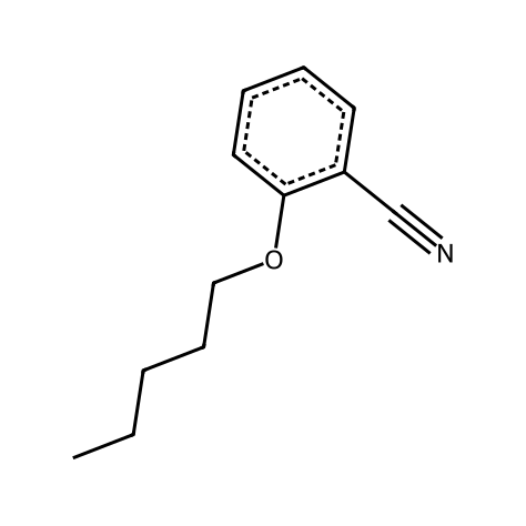 CCCCCOc1ccccc1C#N